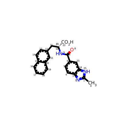 Cc1nc2ccc(C(=O)N[C@H](Cc3ccc4ccccc4c3)C(=O)O)cc2[nH]1